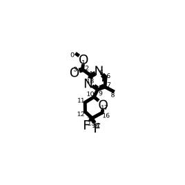 COC(=O)c1ncc(C)c(C2CCC(F)(F)CO2)n1